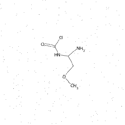 COCC(N)NC(=O)Cl